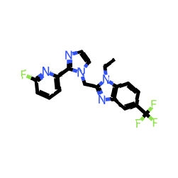 CCn1c(Cn2ccnc2-c2cccc(F)n2)nc2cc(C(F)(F)F)ccc21